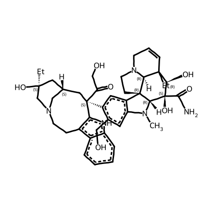 CCC12C=CCN3CC[C@@]4(c5cc([C@@]6(C(=O)CO)C[C@@H]7CN(CCc8c6[nH]c6ccccc86)C[C@](O)(CC)C7)c(CO)cc5N(C)[C@H]4[C@@](O)(C(N)=O)[C@@H]1O)[C@@H]32